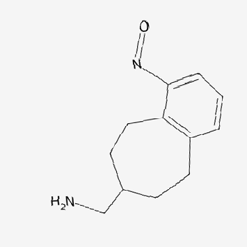 NCC1CCc2cccc(N=O)c2CC1